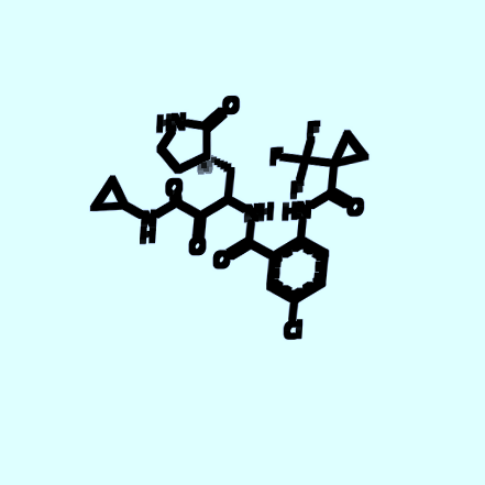 O=C(NC1CC1)C(=O)C(C[C@@H]1CCNC1=O)NC(=O)c1cc(Cl)ccc1NC(=O)C1(C(F)(F)F)CC1